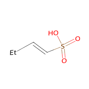 [CH2]CC=CS(=O)(=O)O